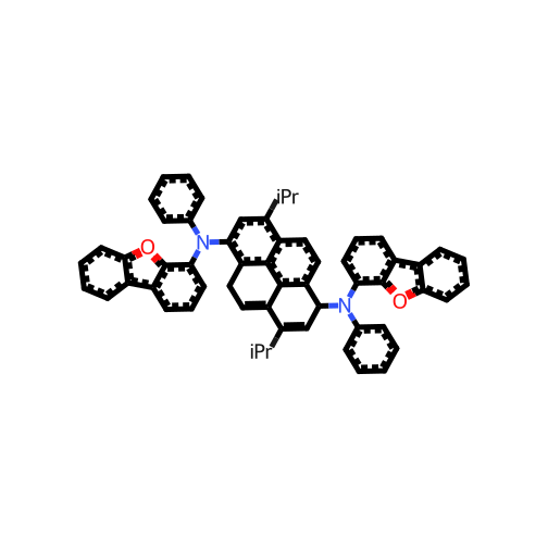 CC(C)C1=CC(N(c2ccccc2)c2cccc3c2oc2ccccc23)c2ccc3c(C(C)C)cc(N(c4ccccc4)c4cccc5c4oc4ccccc45)c4c3c2C1=CC4